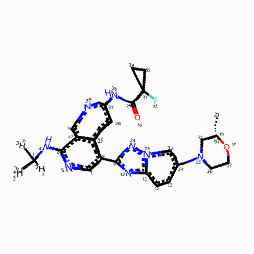 [2H]C([2H])([2H])Nc1ncc(-c2nc3ccc(N4CCO[C@@H](C)C4)cn3n2)c2cc(NC(=O)C3(F)CC3)ncc12